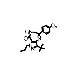 CCCn1nc(C(C)(C)C)c2c1C(=O)NCC(c1ccc(OC)cc1)=N2